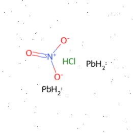 Cl.O=[N+]([O-])[O-].[PbH2].[PbH2]